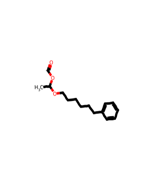 CC(O[C]=O)OCCCCCCc1ccccc1